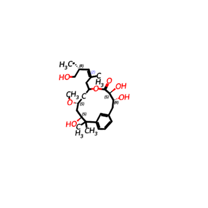 CC[C@H](/C=C(/C)CC1C[C@@H](OC)C[C@H](O)C(C)(C)c2cccc(c2)C[C@@H](O)[C@H](O)C(=O)O1)CO